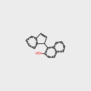 Oc1ccc2ccccc2c1C1C=Cc2ccccc21